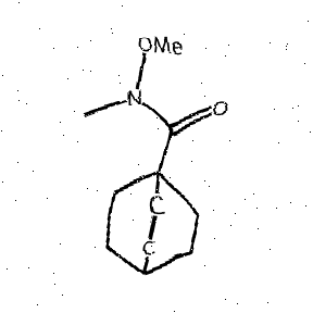 CON(C)C(=O)C12CCC(CC1)CC2